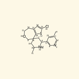 Cc1cncc(C2CC3(COCCc4cc(Cl)sc43)CC(C)N2)c1